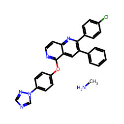 CN.Clc1ccc(-c2nc3ccnc(Oc4ccc(-n5cncn5)cc4)c3cc2-c2ccccc2)cc1